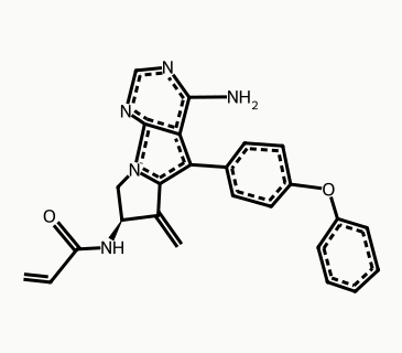 C=CC(=O)N[C@H]1Cn2c(c(-c3ccc(Oc4ccccc4)cc3)c3c(N)ncnc32)C1=C